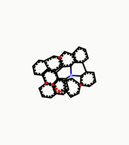 c1ccc(-c2ccccc2N(c2ccccc2-c2cccc3cccc(-c4ccccc4)c23)c2ccccc2-c2cccc3oc4ccccc4c23)cc1